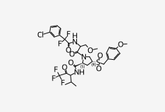 COCC(NC(=O)C(F)(F)c1cccc(Cl)c1)C(=O)N1C[C@H](S(=O)(=O)Cc2ccc(OC)cc2)C[C@H]1C(=O)NC(C(=O)C(F)(F)F)C(C)C